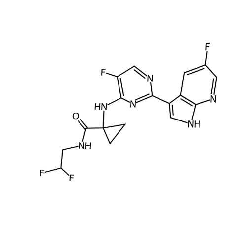 O=C(NCC(F)F)C1(Nc2nc(-c3c[nH]c4ncc(F)cc34)ncc2F)CC1